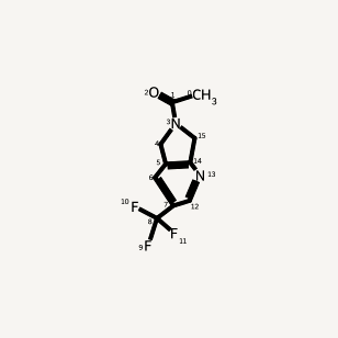 CC(=O)N1Cc2cc(C(F)(F)F)cnc2C1